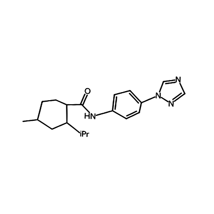 CC1CCC(C(=O)Nc2ccc(-n3cncn3)cc2)C(C(C)C)C1